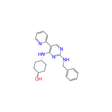 O[C@H]1CC[C@H](Nc2nc(NCc3ccccc3)ncc2-c2ccccn2)CC1